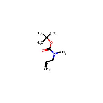 C=CCN(C)C(=O)OC(C)(C)C